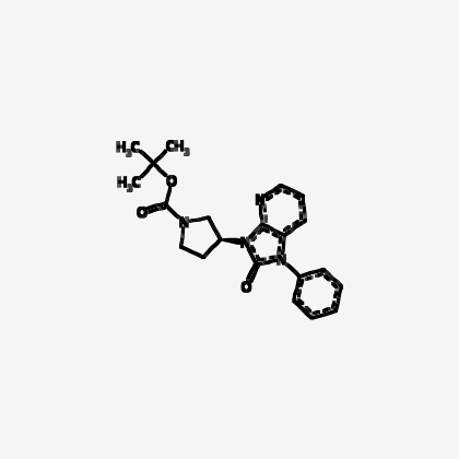 CC(C)(C)OC(=O)N1CC[C@H](n2c(=O)n(-c3ccccc3)c3cccnc32)C1